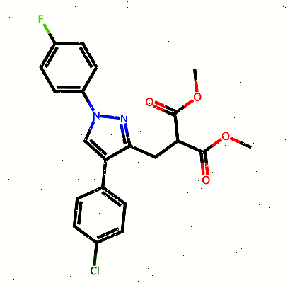 COC(=O)C(Cc1nn(-c2ccc(F)cc2)cc1-c1ccc(Cl)cc1)C(=O)OC